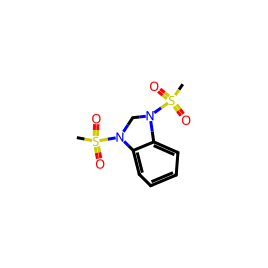 CS(=O)(=O)N1CN(S(C)(=O)=O)c2ccccc21